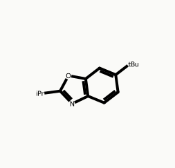 CC(C)c1nc2ccc(C(C)(C)C)cc2o1